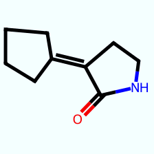 O=C1NCCC1=C1CCCC1